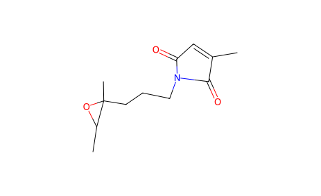 CC1=CC(=O)N(CCCC2(C)OC2C)C1=O